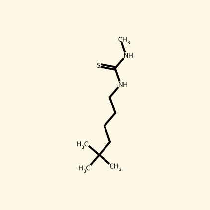 CNC(=S)NCCCCC(C)(C)C